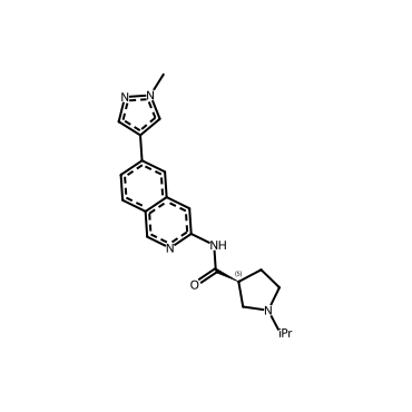 CC(C)N1CC[C@H](C(=O)Nc2cc3cc(-c4cnn(C)c4)ccc3cn2)C1